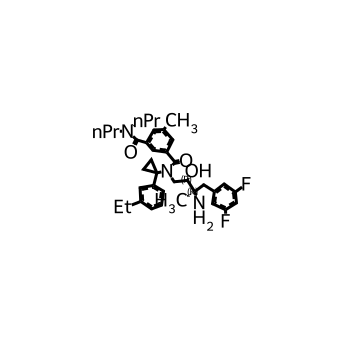 CCCN(CCC)C(=O)c1cc(C)cc(C(=O)N(C[C@@H](O)[C@](C)(N)Cc2cc(F)cc(F)c2)C2(c3cccc(CC)c3)CC2)c1